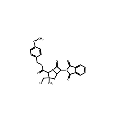 COc1ccc(COC(=O)C2N3C(=O)C(N4C(=O)c5ccccc5C4=O)C3SC2(C)CCl)cc1